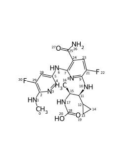 CNc1ncc(Nc2nc(N[C@@H](C3CC3)[C@H](C)NC(=O)O)c(F)cc2C(N)=O)cc1F